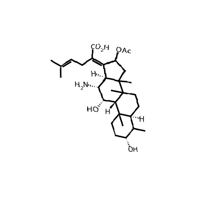 CC(=O)OC1CC2(C)[C@H](/C1=C(\CC=C(C)C)C(=O)O)[C@@H](N)[C@@H](O)[C@H]1C3(C)CC[C@@H](O)C(C)[C@@H]3CCC12C